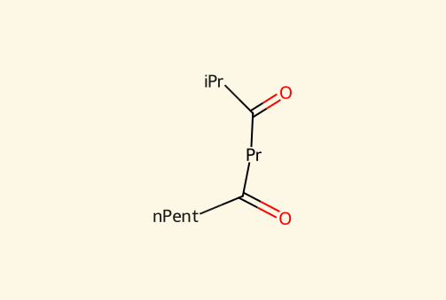 CCCCC[C](=O)[Pr][C](=O)C(C)C